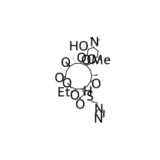 CC[C@H]1OC(=O)[C@H](C)C(=O)[C@H](C)[C@@H](O[C@@H]2O[C@H](C)C[C@H](N(C)C)[C@H]2O)[C@](C)(OC)C[C@@H](C)C(=O)[C@H](C)[C@H]2[C@H](SCCn3ccnc3)C(=O)O[C@@]21C